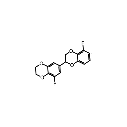 Fc1[c]ccc2c1OCC(c1cc(F)c3c(c1)OCCO3)O2